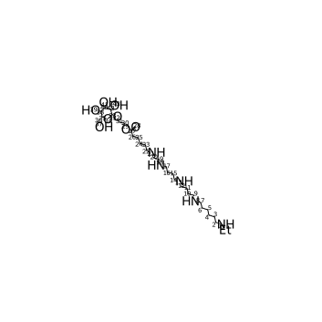 CCNCCCCCCNCCCCNCCCCNCCNCCCCCC(=O)OCCO[C@H]1O[C@H](CO)[C@@H](O)[C@H](O)[C@@H]1O